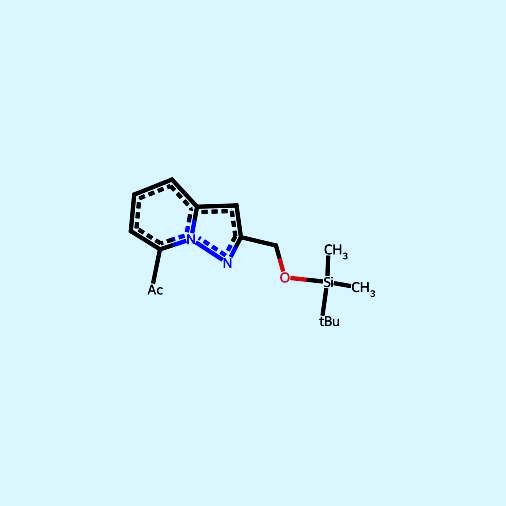 CC(=O)c1cccc2cc(CO[Si](C)(C)C(C)(C)C)nn12